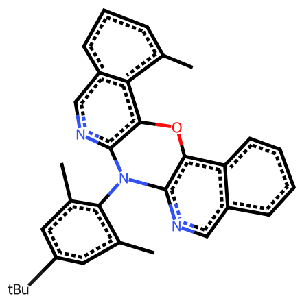 Cc1cc(C(C)(C)C)cc(C)c1N1c2ncc3ccccc3c2Oc2c1ncc1cccc(C)c21